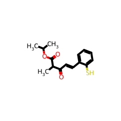 CC(C)OC(=O)C(C)C(=O)/C=C/c1ccccc1S